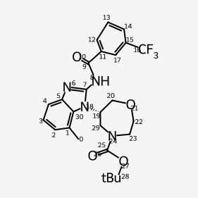 Cc1cccc2nc(NC(=O)c3cccc(C(F)(F)F)c3)n([C@@H]3COCCN(C(=O)OC(C)(C)C)C3)c12